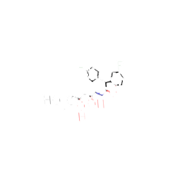 O=C(O)C[C@H](O)C[C@H](O)/C=C/c1oc2ccc(F)cc2c1-c1ccc(F)cc1